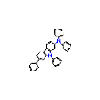 C1=C(c2ccccc2)CCc2c1n(-c1ccccc1)c1cc(N(c3ccccc3)c3ccccc3)ccc21